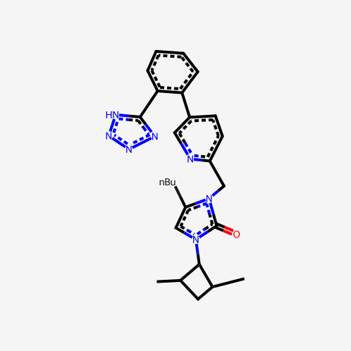 CCCCc1cn(C2C(C)CC2C)c(=O)n1Cc1ccc(-c2ccccc2-c2nnn[nH]2)cn1